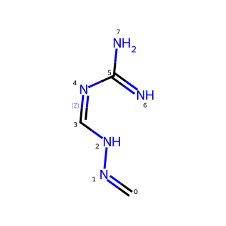 C=NN/C=N\C(=N)N